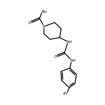 CCC(C)C(=O)N1CCC(NC(=O)Nc2ccc(C(C)C)cc2)CC1